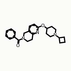 O=C(c1ccccc1)N1CCc2nc(OC3CCN(C4CCC4)CC3)ccc2C1